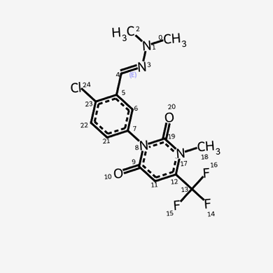 CN(C)/N=C/c1cc(-n2c(=O)cc(C(F)(F)F)n(C)c2=O)ccc1Cl